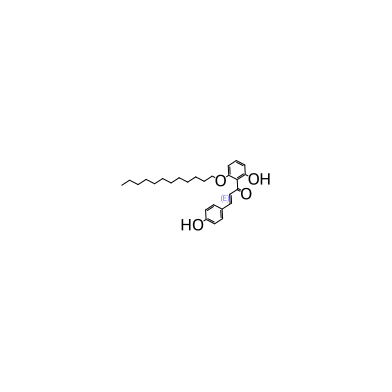 CCCCCCCCCCCCOc1cccc(O)c1C(=O)/C=C/c1ccc(O)cc1